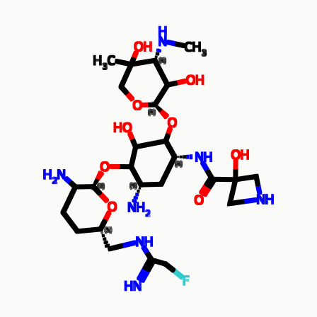 CN[C@@H]1C(O)[C@@H](OC2C(O)C(O[C@H]3O[C@H](CNC(=N)CF)CCC3N)[C@@H](N)C[C@H]2NC(=O)C2(O)CNC2)OCC1(C)O